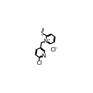 CSc1cccc[n+]1Cc1ccc(Cl)nc1.[Cl-]